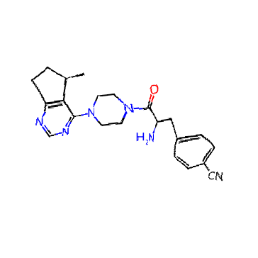 C[C@@H]1CCc2ncnc(N3CCN(C(=O)C(N)Cc4ccc(C#N)cc4)CC3)c21